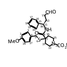 COc1ccc(CSC2(C(=O)N[C@H](CCC=O)c3ccccc3)CCN(C(=O)O)CC2)cc1